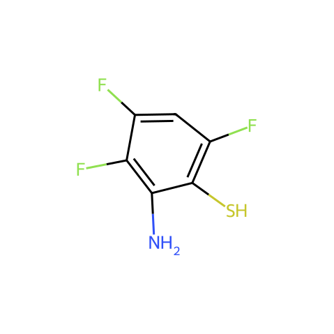 Nc1c(F)c(F)cc(F)c1S